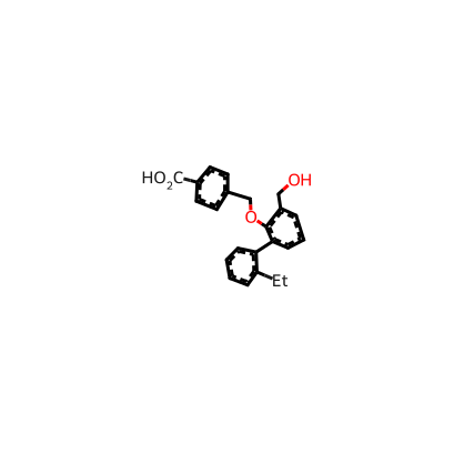 CCc1ccccc1-c1cccc(CO)c1OCc1ccc(C(=O)O)cc1